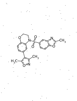 Cc1nc2cc(S(=O)(=O)N3CCOc4ccc(-c5c(C)noc5C)cc43)ccc2o1